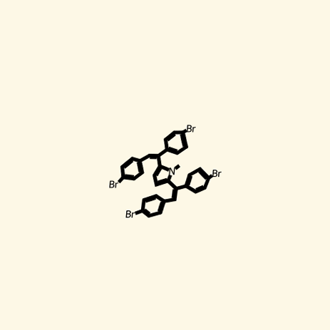 Cn1c(/C(=C\c2ccc(Br)cc2)c2ccc(Br)cc2)ccc1/C(=C\c1ccc(Br)cc1)c1ccc(Br)cc1